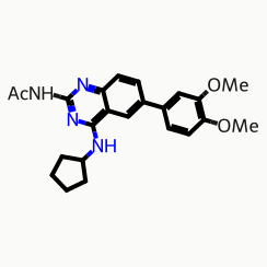 COc1ccc(-c2ccc3nc(NC(C)=O)nc(NC4CCCC4)c3c2)cc1OC